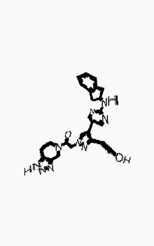 O=C(Cn1cc(-c2cnc(NC3Cc4ccccc4C3)nc2)c(CCO)n1)N1CCc2[nH]nnc2C1